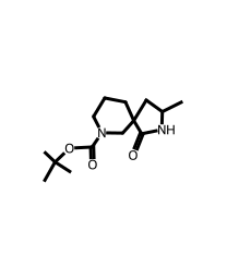 CC1CC2(CCCN(C(=O)OC(C)(C)C)C2)C(=O)N1